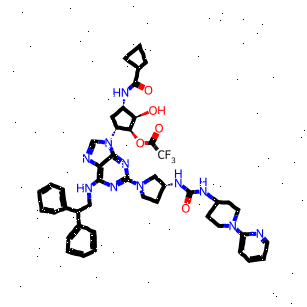 O=C(NC1CCN(c2ccccn2)CC1)N[C@@H]1CCN(c2nc(NCC(c3ccccc3)c3ccccc3)c3ncn([C@@H]4C[C@H](NC(=O)C5CCC5)[C@@H](O)[C@H]4OC(=O)C(F)(F)F)c3n2)C1